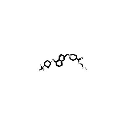 CCOC(=O)C1CCN(Cc2ccc3c(O[C@H]4CC[C@H](C(F)(F)F)CC4)cccc3c2)CC1